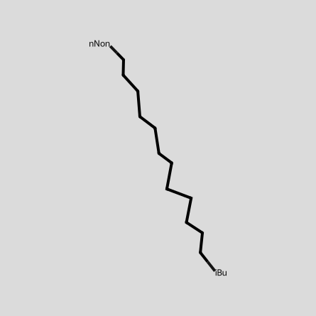 [CH2]CC(C)CCCCCCCCCCCCCCCCCCCCC